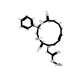 CC(C)(C)OC(=O)C[C@@H]1CC=CCCCC(=O)O[C@H](c2ccccc2)CNC1=O